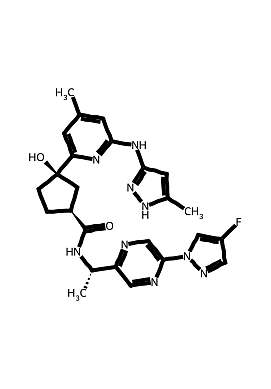 Cc1cc(Nc2cc(C)[nH]n2)nc([C@@]2(O)CC[C@H](C(=O)N[C@@H](C)c3cnc(-n4cc(F)cn4)cn3)C2)c1